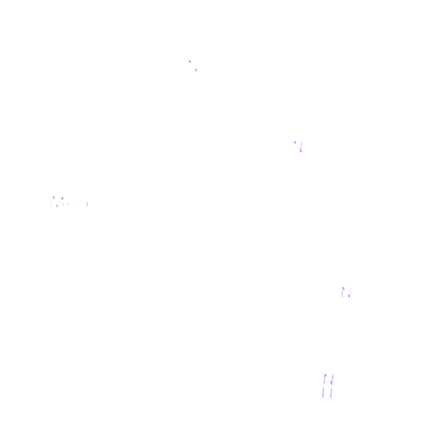 COc1ccc2[nH]c3c(c2c1)CN(CCCN1CCNCC1)CC3